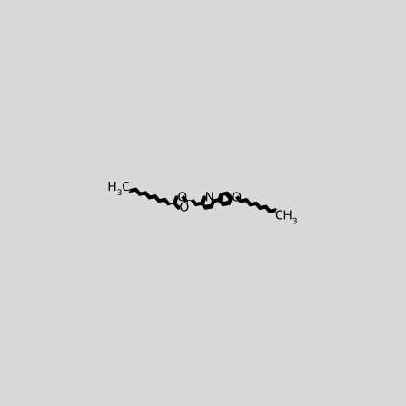 CCCCCCCCCC[C@H]1CO[C@H](CCc2ccc(-c3ccc(OCCCCCCCCC)cc3)nc2)OC1